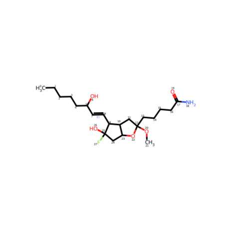 CCCCCC(O)/C=C/C1C2CC(CCCCC(N)=O)(OC)OC2CC1(O)F